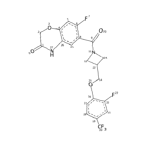 O=C1COc2cc(F)c(C(=O)N3CC(COc4ccc(C(F)(F)F)cc4F)C3)cc2N1